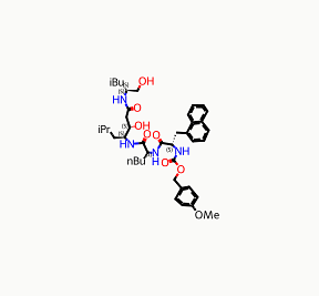 CCCC[C@H](NC(=O)[C@H](Cc1cccc2ccccc12)NC(=O)OCc1ccc(OC)cc1)C(=O)N[C@@H](CC(C)C)[C@@H](O)CC(=O)N[C@H](CO)[C@@H](C)CC